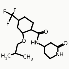 CC(C)COC1CC(C(F)(F)F)CCC1C(=O)NC1CCNC(=O)C1